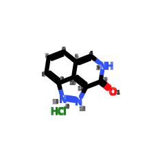 Cl.O=c1[nH]cc2cccc3c2c1N=N3